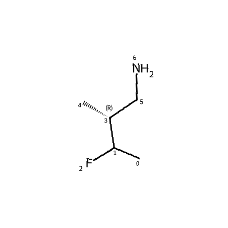 CC(F)[C@H](C)CN